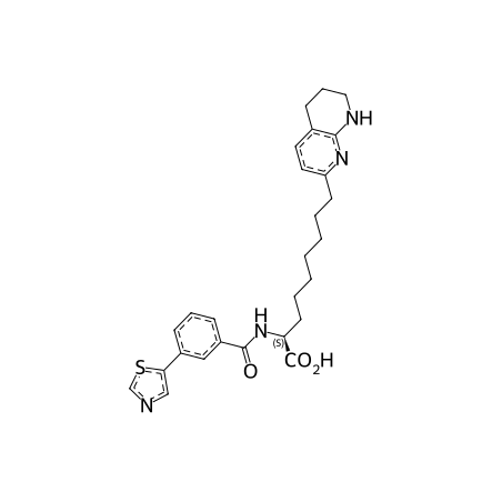 O=C(N[C@@H](CCCCCCCc1ccc2c(n1)NCCC2)C(=O)O)c1cccc(-c2cncs2)c1